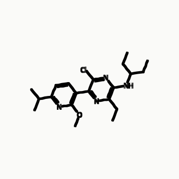 CCc1nc(-c2ccc(C(C)C)nc2OC)c(Cl)nc1NC(CC)CC